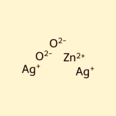 [Ag+].[Ag+].[O-2].[O-2].[Zn+2]